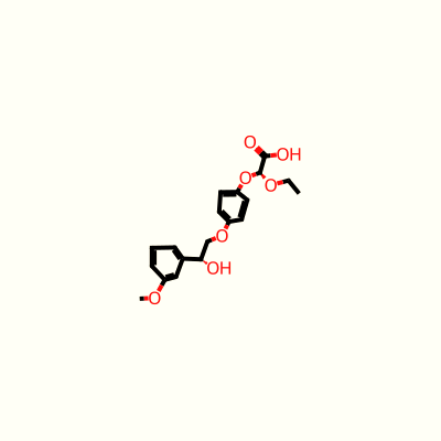 CCO[C@@H](Oc1ccc(OC[C@H](O)c2cccc(OC)c2)cc1)C(=O)O